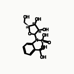 O=C(O)c1ccccc1N(C1O[C@H](CO)[C@@H](O)[C@H]1O)P(=O)(O)O